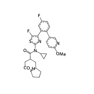 COc1ccc(-c2ccc(F)cc2-c2nc(N(C(=O)C(CC(=O)O)CC3CCCC3)C3CC3)sc2F)cn1